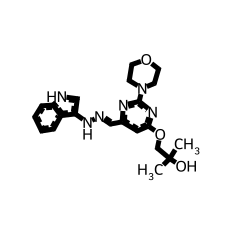 CC(C)(O)COc1cc(/C=N/Nc2c[nH]c3ccccc23)nc(N2CCOCC2)n1